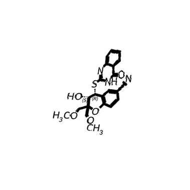 COCC1(COC)Oc2ccc(C#N)cc2[C@@H](Sc2nc3ccccc3c(=O)[nH]2)[C@H]1O